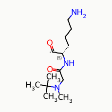 CN(CC(=O)N[C@H]([C]=O)CCCCN)C(C)(C)C